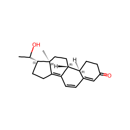 CC(O)[C@H]1CCC2=C3C=CC4=CC(=O)CC[C@@H]4[C@H]3CC[C@@]21C